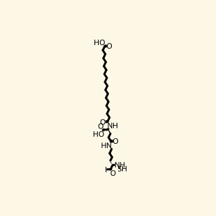 O=C(O)CCCCCCCCCCCCCCCCCCC(=O)N[C@@H](CCC(=O)NCCCC[C@H](NS)C(=O)I)C(=O)O